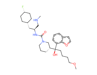 CNC[C@H](C[C@H]1CC[C@@H](F)CC1)NC(=O)N1CCC[C@@H]([C@@](O)(CCCCOC)c2cccc3ccoc23)C1